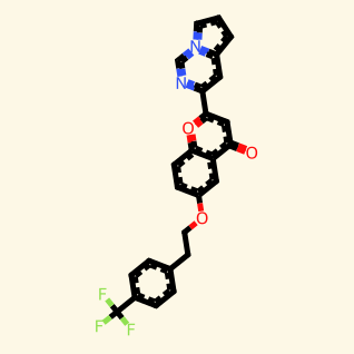 O=c1cc(-c2cc3cccn3cn2)oc2ccc(OCCc3ccc(C(F)(F)F)cc3)cc12